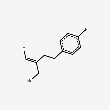 F/C=C(/CBr)CCc1ccc(F)cc1